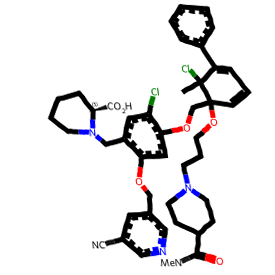 CNC(=O)C1CCN(CCCOC2(COc3cc(OCc4cncc(C#N)c4)c(CN4CCCC[C@H]4C(=O)O)cc3Cl)C=CC=C(c3ccccc3)C2(C)Cl)CC1